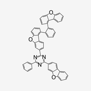 c1ccc(-c2nc(-c3ccc4c(c3)oc3ccccc34)nc(-c3ccc4c(c3)oc3cccc(-c5ccccc5-c5cccc6oc7ccccc7c56)c34)n2)cc1